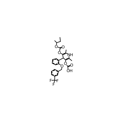 CCC(C)OC(=O)OC1=C(C)NC(C)=C(OC(=O)O)C1c1ccccc1OCc1cccc(C(F)(F)F)c1